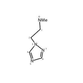 CNCCn1cncn1